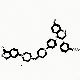 COc1cccc([C@H]2COc3cc(O)ccc3[C@H]2c2ccc(N3CCC(CN4CCN(c5ccc6c(c5)CNC6=O)CC4)CC3)cc2)c1